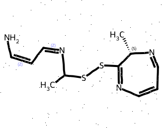 CC(/N=C\C=C/N)SSC1=NC=CC=N[C@H]1C